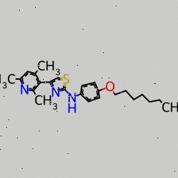 CCCCCCCOc1ccc(Nc2nc(-c3c(C)cc(C)nc3C)cs2)cc1